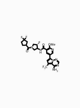 COc1ncc(-c2cc(C(F)(F)F)c3c(N)ncnn23)cc1C(=O)NC1CN(C(=O)C2CCC(F)(F)C2)C[C@@H]1F